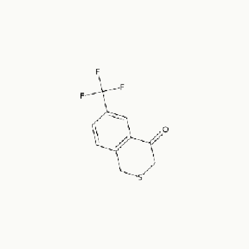 O=C1CSCc2ccc(C(F)(F)F)cc21